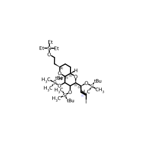 CC[Si](CC)(CC)OCC[C@H]1CC[C@@H]2O[C@@H]([C@H](/C=C/I)O[Si](C)(C)C(C)(C)C)C(O[Si](C)(C)C(C)(C)C)C(O[Si](C)(C)C(C)(C)C)[C@H]2O1